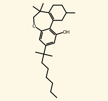 CCCCCCC(C)(C)c1cc(O)c2c(c1)OCC(C)(C)C1=C2CC(C)CC1